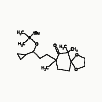 CC1(CCC(O[Si](C)(C)C(C)(C)C)C2CC2)CCC2(OCCO2)C(C)(C)C1=O